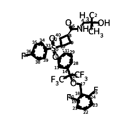 CC(C)(O)CNC(=O)[C@H]1C[C@@](c2ccc(C(OCc3c(F)cccc3F)(C(F)(F)F)C(F)(F)F)cc2)(S(=O)(=O)c2ccc(F)cc2)C1